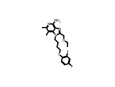 CCOCc1nc2c(N)nc(C)c(C)c2n1CCCCSc1ccc(F)cc1F